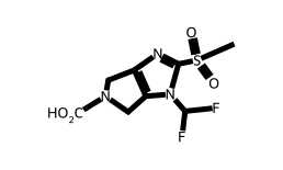 CS(=O)(=O)c1nc2c(n1C(F)F)CN(C(=O)O)C2